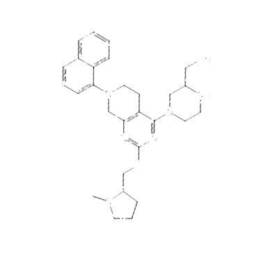 CN1CCCC1COc1nc2c(c(N3CCNC(CC#N)C3)n1)CCN(c1cccc3ccccc13)C2